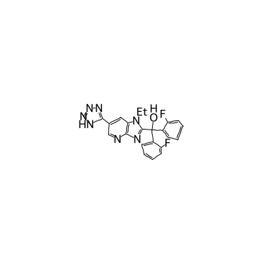 CCn1c(C(O)(c2ccccc2F)c2ccccc2F)nc2ncc(-c3nnn[nH]3)cc21